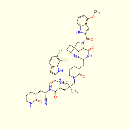 COc1cccc2[nH]c(C(=O)N3CC4(CCC4)CC3C(=O)NC(C#N)CC3CCCN(CC(C)(C)C[C@H](NC(=O)c4cc5ccc(Cl)c(Cl)c5[nH]4)C(=O)N[C@H](C#N)C[C@@H]4CCCNC4=O)C3=O)cc12